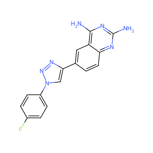 Nc1nc(N)c2cc(-c3cn(-c4ccc(F)cc4)nn3)ccc2n1